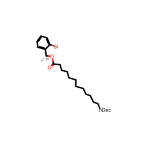 CCCCCCCCCCCCCCCCCCCCCC(=O)O[C@H](C)c1ccccc1Br